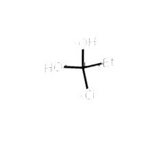 [CH2]CC(O)(O)Cl